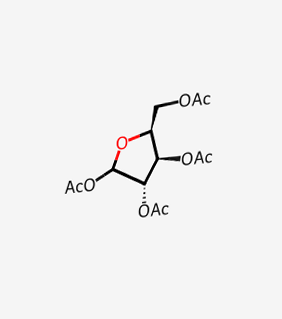 CC(=O)OC[C@@H]1OC(OC(C)=O)[C@@H](OC(C)=O)[C@@H]1OC(C)=O